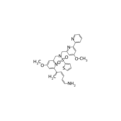 C=C(/C=C\C=C/N)c1cc(OC)cc(CN(Cc2cc(OC)cc(-c3ccccn3)n2)S(=O)(=O)c2cccs2)n1